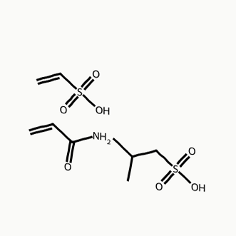 C=CC(N)=O.C=CS(=O)(=O)O.CC(C)CS(=O)(=O)O